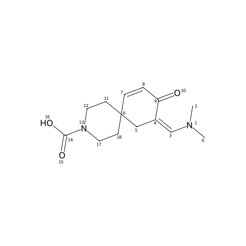 CN(C)/C=C1/CC2(C=CC1=O)CCN(C(=O)O)CC2